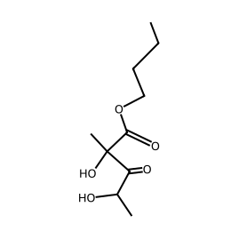 CCCCOC(=O)C(C)(O)C(=O)C(C)O